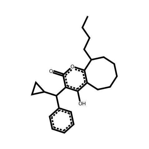 CCCCC1CCCCCc2c1oc(=O)c(C(c1ccccc1)C1CC1)c2O